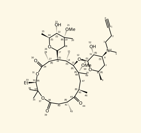 C#CCCN(C)[C@H]1C[C@@H](C)O[C@@H](O[C@@H]2[C@@H](C)[C@H](C3C[C@@](C)(OC)[C@@H](O)[C@H](C)O3)[C@@H](C)C(=O)O[C@H](CC)C(C)(C)OC(=O)C[C@@H](C)C(=O)[C@H](C)C[C@@]2(C)OC)[C@@H]1O